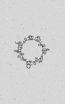 C/C=C/C[C@@H](C)[C@@H](O)[C@H]1C(=O)N[C@@H](CC)C(=O)N(C)CC(=O)N(C)[C@@H](Cc2ccccc2)C(=O)N[C@@H](C(C)C)C(=O)N(C)[C@@H](C)C(=O)N[C@@H](CC(C)C)C(=O)N[C@H](C)C(=O)N(C)[C@@H](CC(C)C)C(=O)N(C)[C@@H](CC(C)C)C(=O)N(C)[C@@H](C(C)C)C(=O)N1C